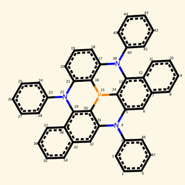 c1ccc(N2c3cc4ccccc4c4c3P3c5c(cccc5N(c5ccccc5)c5c3c2cc2ccccc52)N4c2ccccc2)cc1